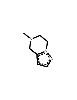 CN1CCn2n[c]cc2C1